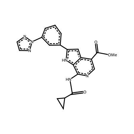 COC(=O)c1cnc(NC(=O)C2CC2)c2[nH]c(-c3cccc(-n4nccn4)c3)cc12